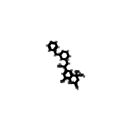 CC1(C)CC(=O)Nc2c(Cl)cc(C(O)CN3CCCC(Cc4ccccc4)C3)cc21